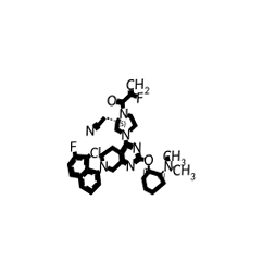 C=C(F)C(=O)N1CCN(c2nc(O[C@@H]3CCCC[C@H]3N(C)C)nc3c2CCN(c2cccc4ccc(F)c(Cl)c24)C3)C[C@@H]1CC#N